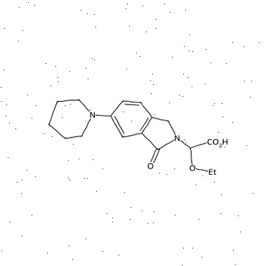 CCOC(C(=O)O)N1Cc2ccc(N3CCCCC3)cc2C1=O